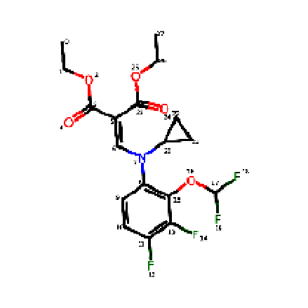 CCOC(=O)C(=CN(c1ccc(F)c(F)c1OC(F)F)C1CC1)C(=O)OCC